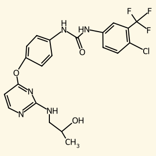 CC(O)CNc1nccc(Oc2ccc(NC(=O)Nc3ccc(Cl)c(C(F)(F)F)c3)cc2)n1